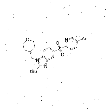 CC(=O)c1ccc(S(=O)(=O)c2ccc3c(c2)nc(C(C)(C)C)n3CC2CCOCC2)nc1